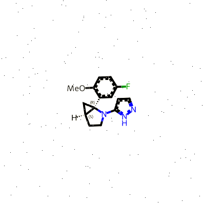 COc1ccc(F)cc1[C@@]12C[C@@H]1CCN2c1ccn[nH]1